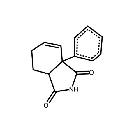 O=C1NC(=O)C2(c3ccccc3)C=CCCC12